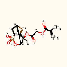 C=C(C)C(=O)OCC(=O)O[C@H]1C2OS(=O)(=O)C3CC2SC31